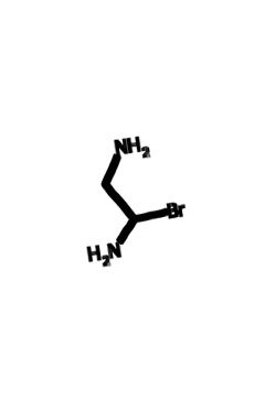 NCC(N)Br